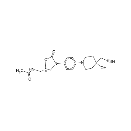 CC(=O)NC[C@H]1CN(c2ccc(N3CCC(O)(CC#N)CC3)cc2)C(=O)O1